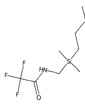 CCCC[Si](C)(C)CNC(=O)C(F)(F)F